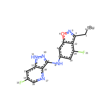 CC(C)(C)Cc1noc2cc(Nc3n[nH]c4cc(F)cnc34)cc(F)c12